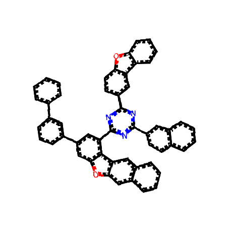 c1ccc(-c2cccc(-c3cc(-c4nc(-c5ccc6ccccc6c5)nc(-c5ccc6oc7ccccc7c6c5)n4)c4c(c3)oc3cc5ccccc5cc34)c2)cc1